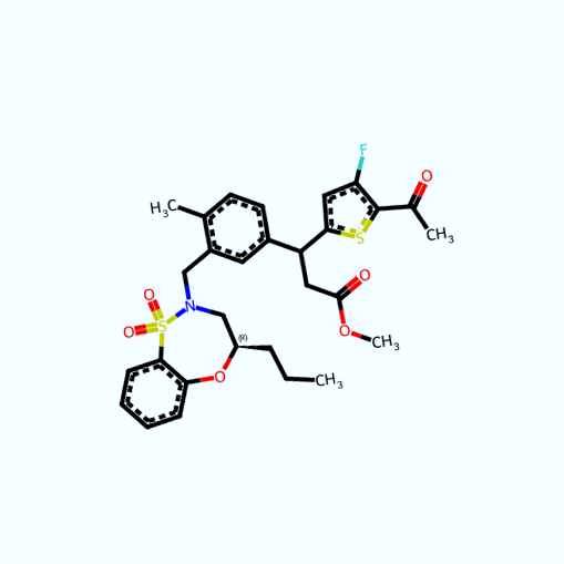 CCC[C@@H]1CN(Cc2cc(C(CC(=O)OC)c3cc(F)c(C(C)=O)s3)ccc2C)S(=O)(=O)c2ccccc2O1